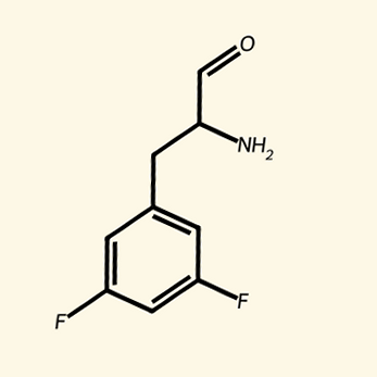 NC(C=O)Cc1cc(F)cc(F)c1